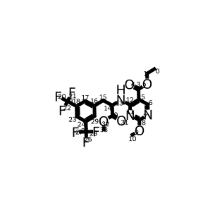 CCOC(=O)c1cnc(OC)nc1NC(Cc1cc(C(F)(F)F)cc(C(F)(F)F)c1)C(=O)OC